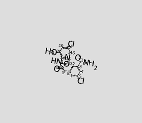 NC(=O)c1cc(Cl)cc(CS(=O)(=O)Nc2ncc(Cl)cc2O)c1